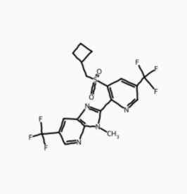 Cn1c(-c2ncc(C(F)(F)F)cc2S(=O)(=O)CC2CCC2)nc2cc(C(F)(F)F)cnc21